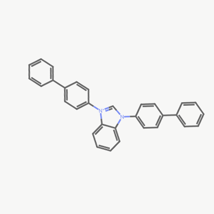 c1ccc(-c2ccc(-n3c[n+](-c4ccc(-c5ccccc5)cc4)c4ccccc43)cc2)cc1